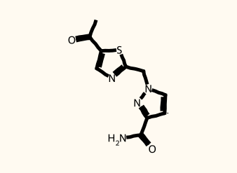 CC(=O)c1cnc(Cn2c[c]c(C(N)=O)n2)s1